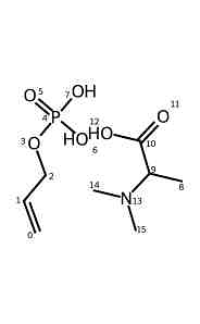 C=CCOP(=O)(O)O.CC(C(=O)O)N(C)C